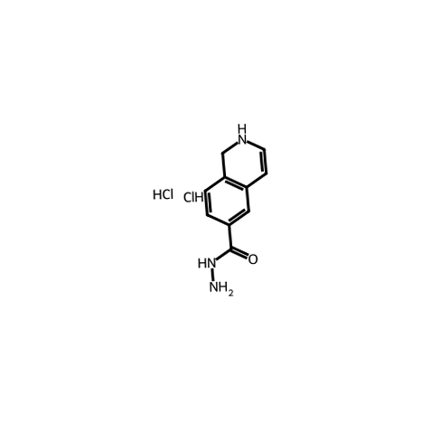 Cl.Cl.NNC(=O)c1ccc2c(c1)C=CNC2